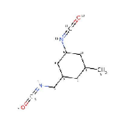 CC1CC(CN=C=O)CC(N=C=O)C1